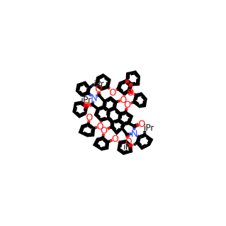 CC(C)c1cccc(C(C)C)c1N1C(=O)c2cc(Oc3ccccc3Oc3ccccc3)c3c4c(Oc5ccccc5Oc5ccccc5)cc5c6c(cc(Oc7ccccc7Oc7ccccc7)c(c7c(Oc8ccccc8Oc8ccccc8)cc(c2c37)C1=O)c64)C(=O)N(c1c(C(C)C)cccc1C(C)C)C5=O